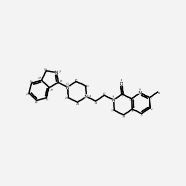 Cc1ccc2c(n1)C(=O)N(CCN1CCN(C3=NCc4ccccc43)CC1)CC2